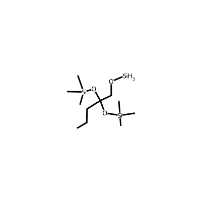 CCCC(CO[SiH3])(O[Si](C)(C)C)O[Si](C)(C)C